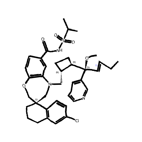 CC/C=C/[C@](OC)(c1cccnc1)[C@@H]1CC[C@H]1CN1C[C@@]2(CCCc3cc(Cl)ccc32)COc2ccc(C(=O)NS(=O)(=O)C(C)C)cc21